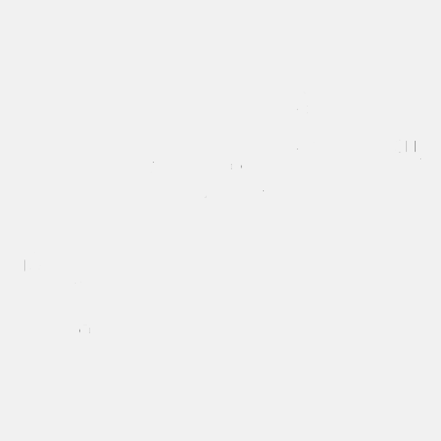 C=CC(=O)COc1ccc(C(=O)O)cc1